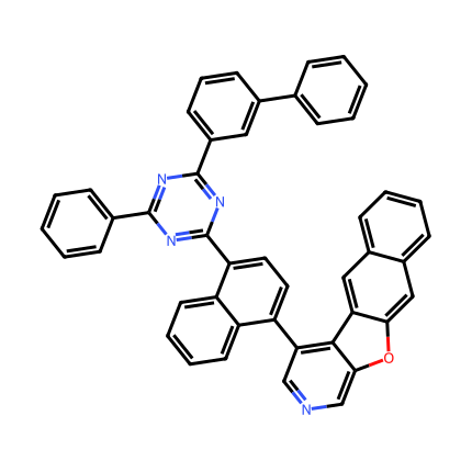 c1ccc(-c2cccc(-c3nc(-c4ccccc4)nc(-c4ccc(-c5cncc6oc7cc8ccccc8cc7c56)c5ccccc45)n3)c2)cc1